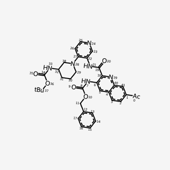 CC(=O)c1ccc2cc(NC(=O)OCc3ccccc3)c(C(=O)Nc3cnccc3N3CCCC(NC(=O)OC(C)(C)C)C3)nc2c1